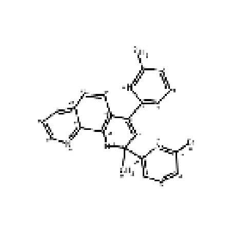 Cc1cccc(C2=CC(C)(c3cccc(Br)n3)Nc3c2ccc2cccnc32)n1